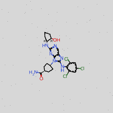 NC(=O)[C@H]1CC[C@@H](n2c(Nc3c(Cl)cc(Cl)cc3Cl)nc3cnc(N[C@@H]4CCC[C@H]4O)nc32)CC1